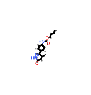 C=CCCOC(=O)Nc1ccc(C2=NNC(=O)CC2C)cc1